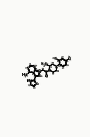 Cc1ncnc2c1c(-c1ncc[nH]1)nn2CC(=O)N1CCN(c2ccc(Cl)cc2F)C[C@@H]1C